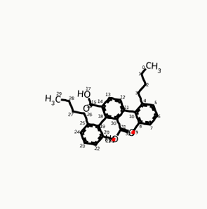 CCCCc1cccc(I)c1-c1ccc(C(=O)O)c(-c2c(I)cccc2CCCC)c1C(=O)O